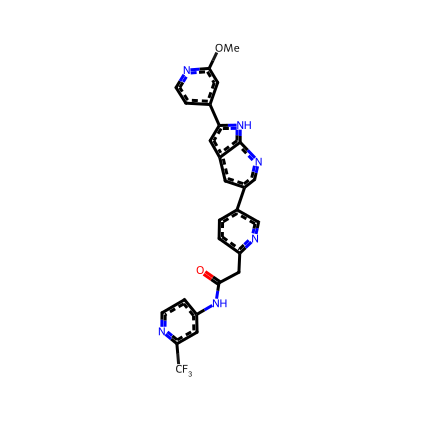 COc1cc(-c2cc3cc(-c4ccc(CC(=O)Nc5ccnc(C(F)(F)F)c5)nc4)cnc3[nH]2)ccn1